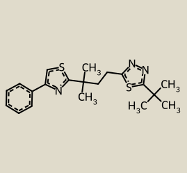 CC(C)(C)c1nnc(CCC(C)(C)c2nc(-c3ccccc3)cs2)s1